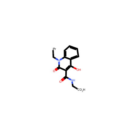 CC(C)Cn1c(=O)c(C(=O)NCC(=O)O)c(O)c2ccccc21